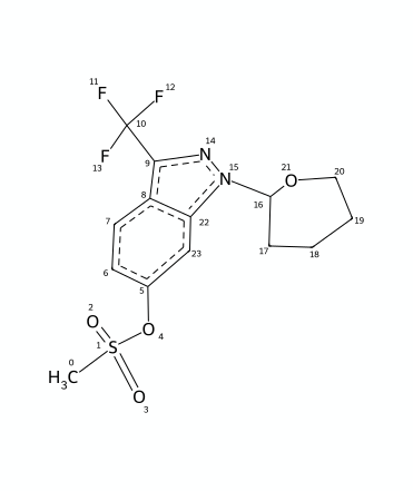 CS(=O)(=O)Oc1ccc2c(C(F)(F)F)nn(C3CCCCO3)c2c1